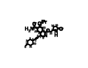 CC1CCC(C#Cc2cnc(OCC3CCC(=O)N3)c3cc(OC(C)C)c(C(N)=O)cc23)CC1